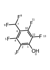 Oc1c(F)c(F)c(C(F)F)c(F)c1F